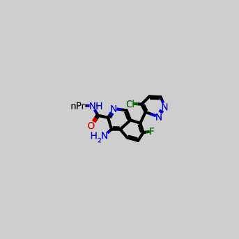 CCCNC(=O)c1ncc2c(-c3nnccc3Cl)c(F)ccc2c1N